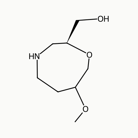 COC1CCNC[C@@H](CO)OC1